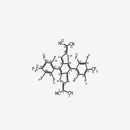 N#CC(C#N)=c1cc2c(-c3c(F)c(F)c(C(F)(F)F)c(F)c3F)c3sc(=C(C#N)C#N)cc3c(-c3c(F)c(F)c(C(F)(F)F)c(F)c3F)c2s1